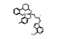 Cc1ccc(OP(=O)(CO[C@H](C)Cn2cnc3c(N)ncnc32)OC2CSSC(c3ccccc3CO)C2)cc1